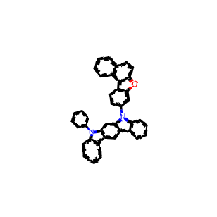 c1ccc(-n2c3ccccc3c3cc4c5ccccc5n(-c5ccc6c(c5)oc5ccc7ccccc7c56)c4cc32)cc1